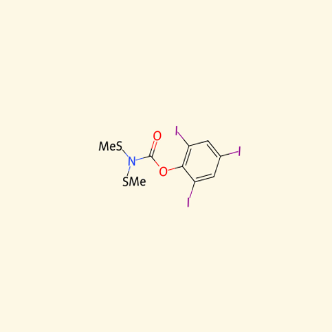 CSN(SC)C(=O)Oc1c(I)cc(I)cc1I